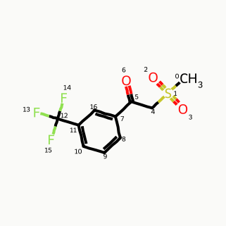 CS(=O)(=O)CC(=O)c1cccc(C(F)(F)F)c1